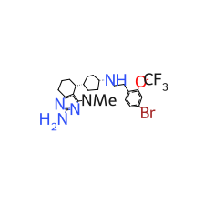 CNc1nc(N)nc2c1C([C@H]1CC[C@@H](NCCc3ccc(Br)cc3OC(F)(F)F)CC1)CCC2